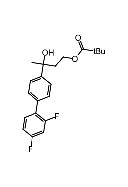 CC(C)(C)C(=O)OCCC(C)(O)c1ccc(-c2ccc(F)cc2F)cc1